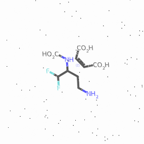 NCCC(NC(=O)O)C(F)F.O=C(O)/C=C\C(=O)O